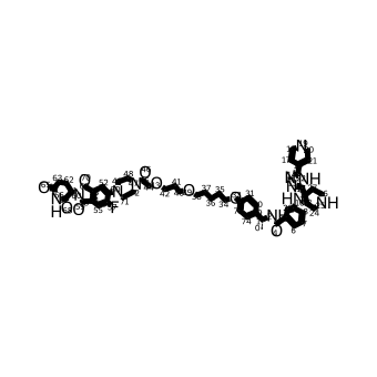 C[C@@H](NC(=O)c1cccc(NC2(c3nnc(-c4ccncc4)[nH]3)CCNCC2)c1)c1ccc(OCCCCCOCCCOCC(=O)N2CCN(c3cc4c(cc3F)C(=O)N(C3CCC(=O)NC3=O)C4=O)CC2)cc1